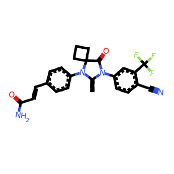 C=C1N(c2ccc(C#N)c(C(F)(F)F)c2)C(=O)C2(CCC2)N1c1ccc(/C=C/C(N)=O)cc1